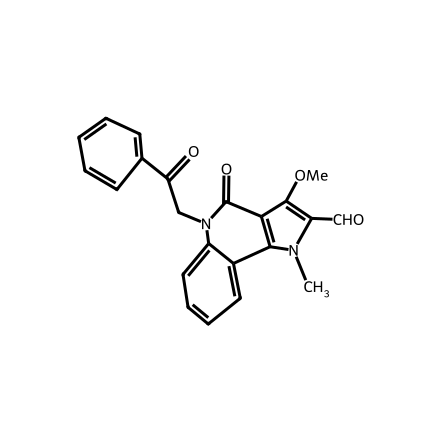 COc1c(C=O)n(C)c2c1c(=O)n(CC(=O)c1ccccc1)c1ccccc21